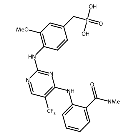 CNC(=O)c1ccccc1Nc1nc(Nc2ccc(CP(=O)(O)O)cc2OC)ncc1C(F)(F)F